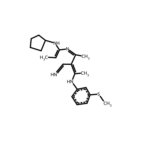 C/C=C(/N=C(C)\C(C=N)=C(/C)Nc1cccc(SC)c1)NC1CCCC1